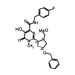 COCN1C[C@H](OCc2ccccc2)C[C@H]1c1nc(C(=O)NCc2ccc(F)cc2)c(O)c(=O)n1C